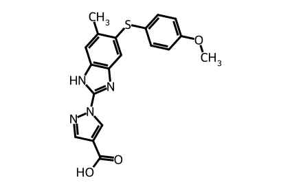 COc1ccc(Sc2cc3nc(-n4cc(C(=O)O)cn4)[nH]c3cc2C)cc1